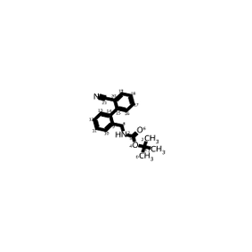 CC(C)(C)OC(=O)NCc1ccccc1-c1ccccc1C#N